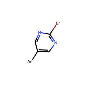 CC(=O)c1cnc(Br)nc1